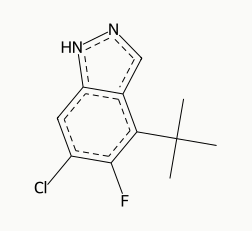 CC(C)(C)c1c(F)c(Cl)cc2[nH]ncc12